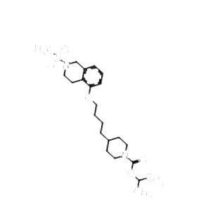 CC(C)OC(=O)N1CCC(CCCCOc2cccc3c2CCN(S(C)(=O)=O)C3)CC1